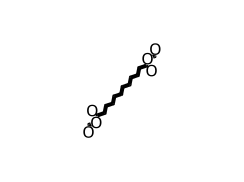 O=COC(=O)CCCCCCCCCCC(=O)OC=O